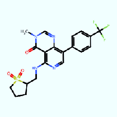 Cn1cnc2c(-c3ccc(C(F)(F)F)cc3)cnc(NCC3CCCS3(=O)=O)c2c1=O